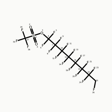 O=S(=O)(OC(F)(F)C(F)(F)C(F)(F)C(F)(F)C(F)(F)C(F)(F)C(F)(F)CF)C(F)(F)F